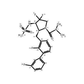 CN(C)C(=O)N1CC(F)(F)[C@H](NS(C)(=O)=O)[C@@H]1Cc1cccc(-c2cccc(F)c2)c1F